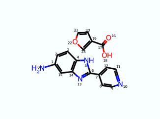 Nc1ccc2[nH]c(-c3ccncc3)nc2c1.O=C(O)c1ccoc1